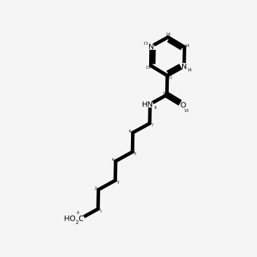 O=C(O)CCCCCCCNC(=O)c1cnccn1